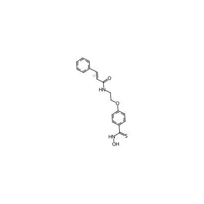 O=C(/C=C/c1ccccc1)NCCOc1ccc(C(=S)NO)cc1